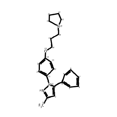 FC(F)(F)c1cc(-c2ccccc2)n(-c2ccc(OCCCN3CCCC3)cc2)n1